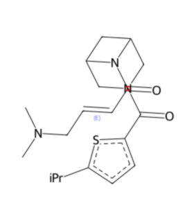 CC(C)c1ccc(C(=O)N2CC3CC(C2)N3C(=O)/C=C/CN(C)C)s1